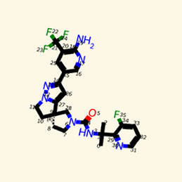 CC(C)(NC(=O)N1CC[C@@]2(CCn3nc(-c4cnc(N)c(C(F)(F)F)c4)cc32)C1)c1ncccc1F